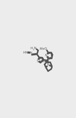 COc1cccc(C2(O)CC3CCC(C2)N3C(=O)c2csc(/C(=C/N=N)CN)c2)n1